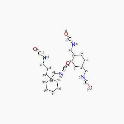 O=C=NCC1CCC(CN=C=O)CC1.O=C=NCCCC1(CN=C=O)CCCCC1